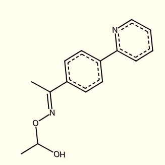 CC(=NOC(C)O)c1ccc(-c2ccccn2)cc1